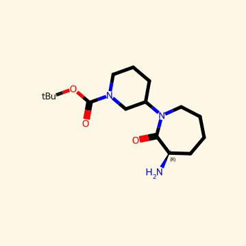 CC(C)(C)OC(=O)N1CCCC(N2CCCC[C@@H](N)C2=O)C1